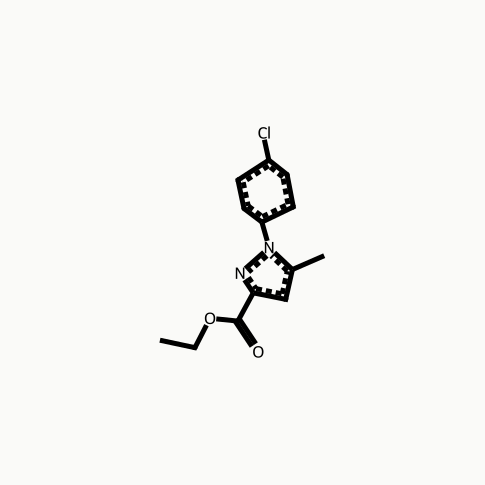 CCOC(=O)c1cc(C)n(-c2ccc(Cl)cc2)n1